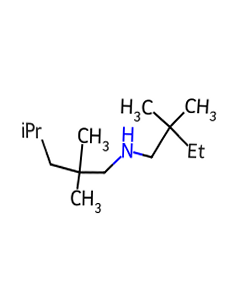 CCC(C)(C)CNCC(C)(C)CC(C)C